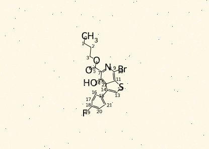 CCCCOC(=O)c1nc(Br)c2scc(-c3ccc(F)cc3)c2c1O